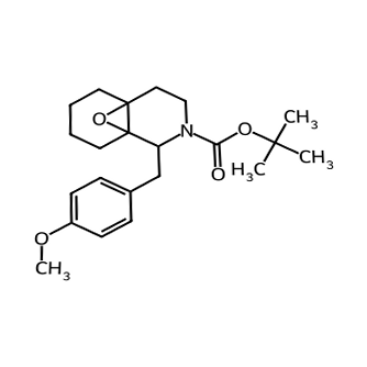 COc1ccc(CC2N(C(=O)OC(C)(C)C)CCC34CCCCC23O4)cc1